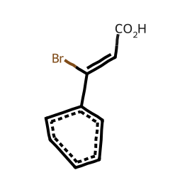 O=C(O)C=C(Br)c1ccccc1